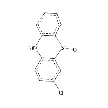 [O-][S+]1c2ccccc2Nc2ccc(Cl)cc21